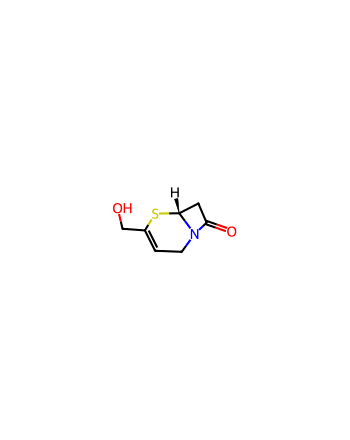 O=C1C[C@H]2SC(CO)=CCN12